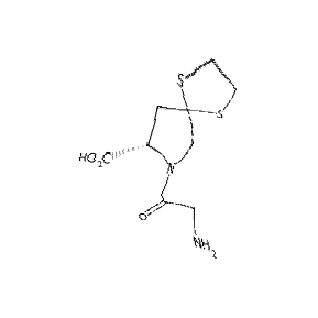 NCC(=O)N1CC2(C[C@H]1C(=O)O)SCCS2